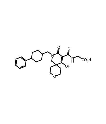 O=C(O)CNC(=O)C1=C(O)C2(CCOCC2)CN(CC2CCC(c3ccccc3)CC2)C1=O